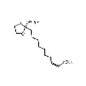 CCCCCCCC/C=C\CCCCCCCC1(CCCCCCC)OCCO1